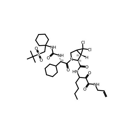 C=CCNC(=O)C(=O)C(CCCC)NC(=O)[C@@H]1[C@@H]2C(CN1C(=O)[C@@H](NC(=O)NC1(CS(=O)(=O)C(C)(C)C)CCCCC1)C1CCCCC1)C2(Cl)Cl